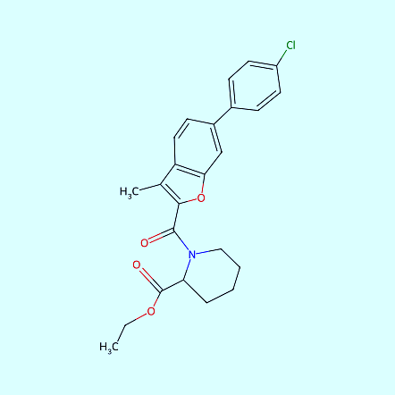 CCOC(=O)C1CCCCN1C(=O)c1oc2cc(-c3ccc(Cl)cc3)ccc2c1C